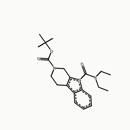 CCN(CC)C(=O)n1c2c(c3ccccc31)CCN(C(=O)OC(C)(C)C)C2